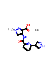 Cn1cc(NC(=O)c2cccc(-c3cn[nH]c3)n2)c(C(=O)O)n1.[LiH]